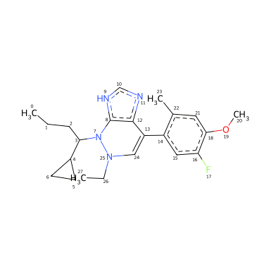 CCCC(C1CC1)N1c2[nH]cnc2C(c2cc(F)c(OC)cc2C)=CN1CC